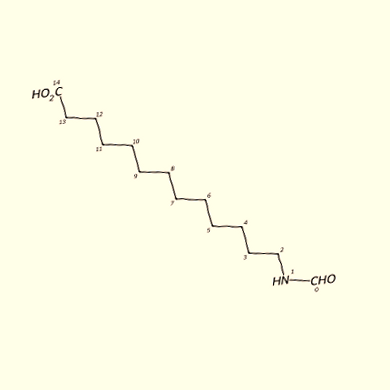 O=CNCCCCCCCCCCCCC(=O)O